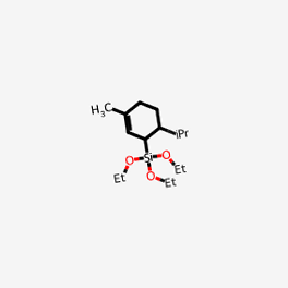 CCO[Si](OCC)(OCC)C1C=C(C)CCC1C(C)C